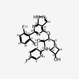 O=C(Nc1ccc(F)cn1)[C@H](CN1CC(O)C1)Oc1nc(-c2c(F)cccc2Cl)nc2[nH]ncc12